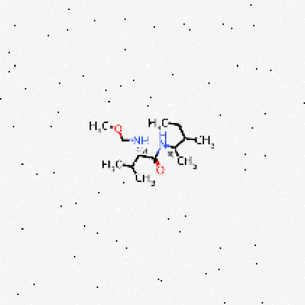 CCC(C)[C@@H](C)NC(=O)[C@@H](NCOC)C(C)C